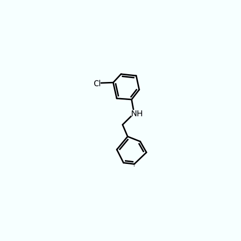 Clc1cccc(NCc2cc[c]cc2)c1